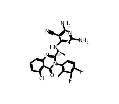 Cc1c(-n2c([C@H](C)Nc3nc(N)nc(N)c3C#N)nc3cccc(Cl)c3c2=O)ccc(F)c1F